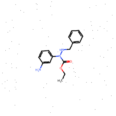 CCOC(=O)N(NCc1ccccc1)c1cccc(N)c1